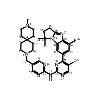 CN1CCC2(CC1)CCN(Cc1ccc(Nc3ncc(F)c(-c4cc(F)c5nc6n(c5c4)C(C)(C)CC6)n3)nc1)CC2